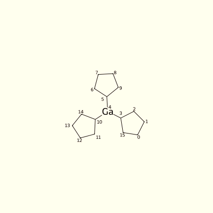 C1CC[CH]([Ga]([CH]2CCCC2)[CH]2CCCC2)C1